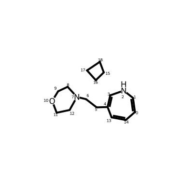 C1=CNC=C(CCN2CCOCC2)C=C1.C1CCC1